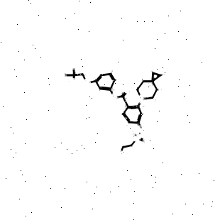 CC(C)(O)COc1cccc(NC(=O)c2ccc(NS(=O)(=O)CCO)cc2N2CCC3(CC2)CC3)c1